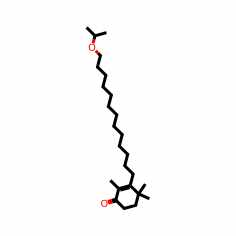 CC1=C(CCCCCCCCCCCCCOC(C)C)C(C)(C)CCC1=O